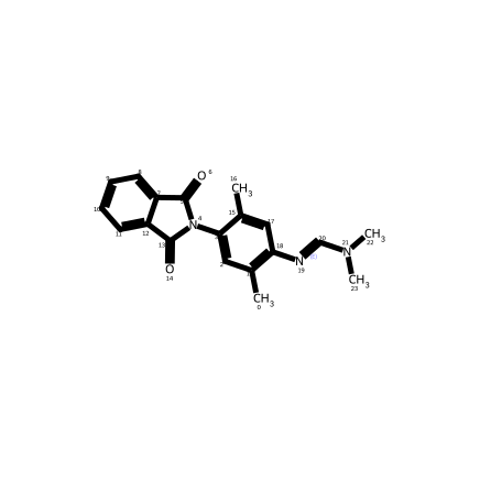 Cc1cc(N2C(=O)c3ccccc3C2=O)c(C)cc1/N=C/N(C)C